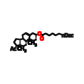 CCCCCCCCCCCCCCCC(=O)OC1CCC2(C)C(=CCC3C2CCC2(C)C(C(C)=O)CCC32)C1